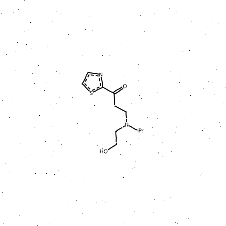 CC(C)N(CCO)CCC(=O)c1nccs1